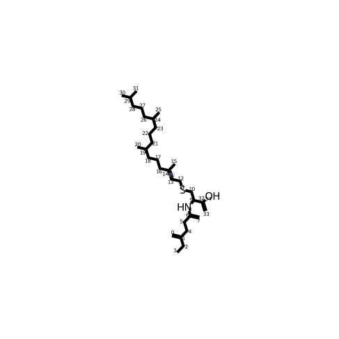 C=C(CC)CCC(=C)NC(CSC/C=C(\C)CCCC(C)CCCC(C)CCCC(C)C)C(=C)O